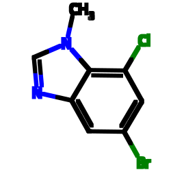 Cn1cnc2cc(Br)cc(Cl)c21